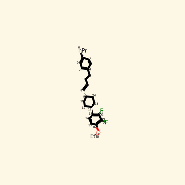 CCCc1ccc(CCC=C[C@H]2CC[C@H](c3ccc(OCC)c(F)c3F)CC2)cc1